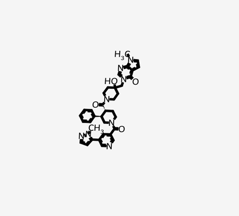 Cn1nccc1-c1cncc(C(=O)N2CC[C@@H](C(=O)N3CCC(O)(Cn4cnc5c(ccn5C)c4=O)CC3)[C@H](c3ccccc3)C2)c1